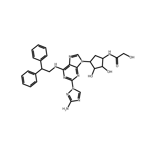 Nc1ncn(-c2nc(NCC(c3ccccc3)c3ccccc3)c3ncn(C4CC(NC(=O)CO)C(O)C4O)c3n2)n1